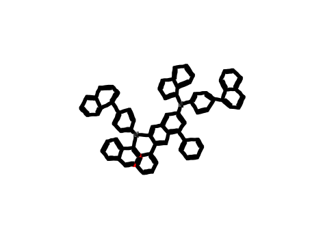 c1ccc(-c2cc3c(-c4ccccc4)cc(N(c4ccc(-c5cccc6ccccc56)cc4)c4cccc5ccccc45)cc3cc2N(c2ccc(-c3cccc4ccccc34)cc2)c2cccc3ccccc23)cc1